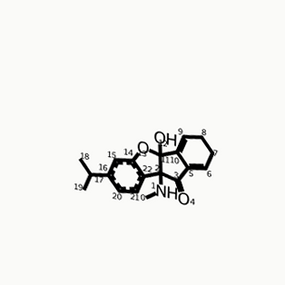 CNC12C(=O)C3=CCCC=C3C1(O)Oc1cc(C(C)C)ccc12